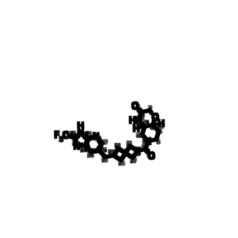 O=C1CO[C@H]2CCN(C(=O)N3CC4(CC(Cc5cnc6[nH]c(C(F)(F)F)nc6c5)C4)C3)C[C@H]2N1